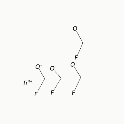 [O-]CF.[O-]CF.[O-]CF.[O-]CF.[Ti+4]